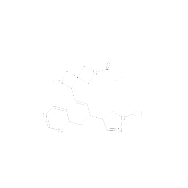 Cn1cc(-c2cc(C3NCC34CN(C(=O)O)C4)c3cncnc3c2)cn1